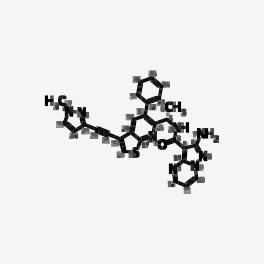 C[C@H](NC(=O)c1c(N)nn2cccnc12)c1nc2scc(C#Cc3ccn(C)n3)c2cc1-c1ccccc1